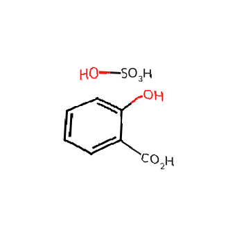 O=C(O)c1ccccc1O.O=S(=O)(O)O